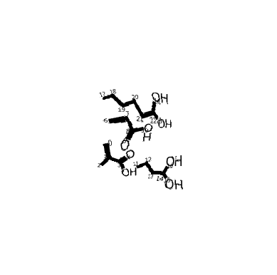 C=C(C)C(=O)O.C=CC(=O)O.CCCC(O)O.CCCCCC(O)O